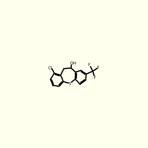 OC1Cc2c(Cl)cccc2Sc2ccc(C(F)(F)F)cc21